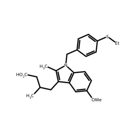 CCSc1ccc(Cn2c(C)c(CC(C)CC(=O)O)c3cc(OC)ccc32)cc1